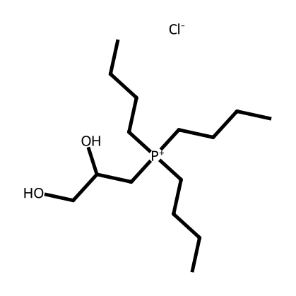 CCCC[P+](CCCC)(CCCC)CC(O)CO.[Cl-]